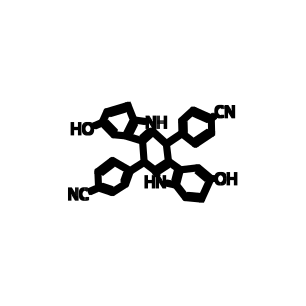 N#Cc1ccc(C2c3[nH]c4ccc(O)cc4c3C(c3ccc(C#N)cc3)c3[nH]c4ccc(O)cc4c32)cc1